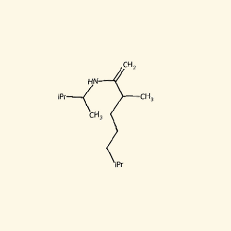 C=C(NC(C)C(C)C)C(C)CCCC(C)C